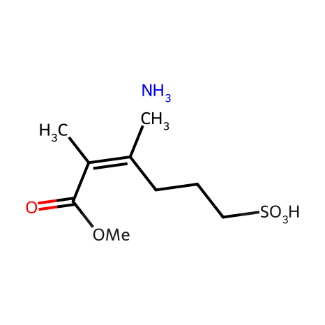 COC(=O)C(C)=C(C)CCCS(=O)(=O)O.N